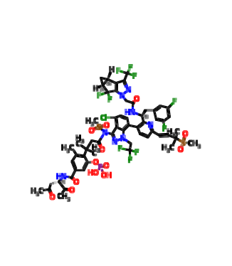 CC(=O)C[C@H](NC(=O)c1cc(C)c(C(C)(C)CC(=O)N(c2nn(CC(F)(F)F)c3c(-c4ccc(C#CC(C)(C)S(C)(=O)=O)nc4[C@H](Cc4cc(F)cc(F)c4)NC(=O)Cn4nc(C(F)(F)F)c5c4C(F)(F)[C@@H]4C[C@H]54)ccc(Cl)c23)S(C)(=O)=O)c(OP(=O)(O)O)c1)C(C)=O